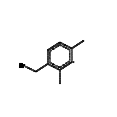 Cc1[c]c(C)c(CBr)cc1